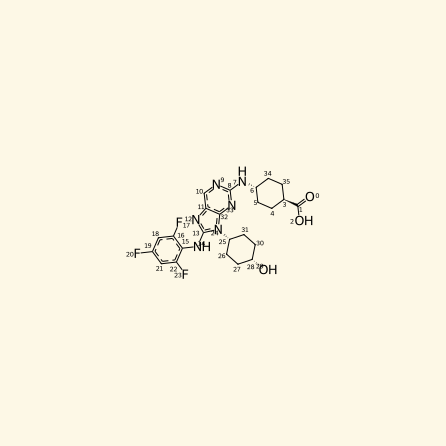 O=C(O)[C@H]1CC[C@H](Nc2ncc3nc(Nc4c(F)cc(F)cc4F)n([C@H]4CC[C@@H](O)CC4)c3n2)CC1